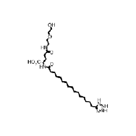 O=C(CC[C@H](NC(=O)CCCCCCCCCCCCCCCC1=NNNN1)C(=O)O)NCCOCCO